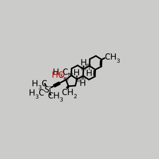 C=C1C[C@H]2[C@@H]3CC=C4C=C(C)CC[C@@H]4[C@H]3CC[C@]2(C)[C@]1(O)C#C[Si](C)(C)C